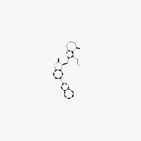 CCOC(=O)CCc1c(/C=C2\C(=O)Nc3ccc(-c4cc5ccccc5s4)cc32)[nH]c2c1C(=O)CCC2